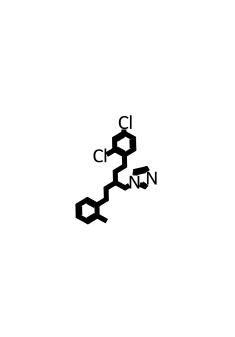 Cc1ccccc1CCC(CCc1ccc(Cl)cc1Cl)Cn1ccnc1